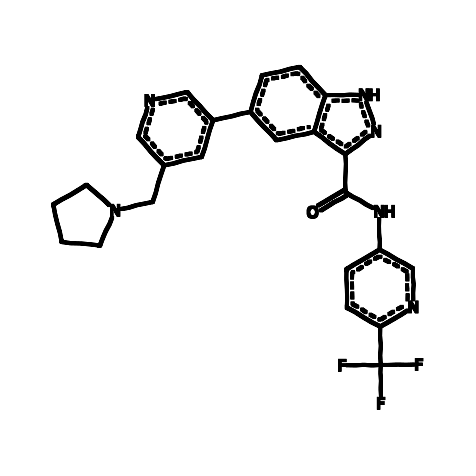 O=C(Nc1ccc(C(F)(F)F)nc1)c1n[nH]c2ccc(-c3cncc(CN4CCCC4)c3)cc12